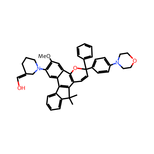 COc1cc2c3c(c4c(c2cc1N1CCC/C(=C/O)C1)-c1ccccc1C4(C)C)C=CC(c1ccccc1)(c1ccc(N2CCOCC2)cc1)O3